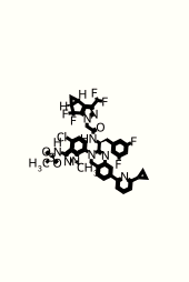 Cn1nc(NS(C)(=O)=O)c2c(Cl)ccc(N3Cc4ccc(-c5cccc(C6CC6)n5)cc4N=C3[C@H](Cc3cc(F)cc(F)c3)NC(=O)Cn3nc(C(F)F)c4c3C(F)(F)[C@@H]3C[C@H]43)c21